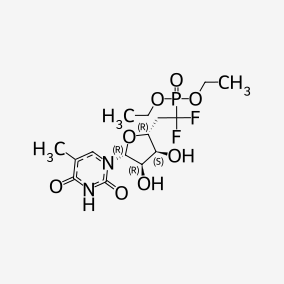 CCOP(=O)(OCC)C(F)(F)C[C@H]1O[C@@H](n2cc(C)c(=O)[nH]c2=O)[C@H](O)[C@@H]1O